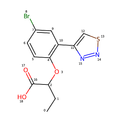 CCC(Oc1ccc(Br)cc1-c1csnn1)C(=O)O